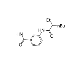 CCCCC(CC)C(=O)Nc1cccc(C([NH])=O)c1